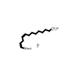 CCCCC/C=C\C/C=C\CCCCCCCC(=O)O.[Zr]